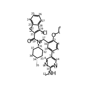 CCOc1ccc(-c2cnc(NC)nc2)cc1CN(C(=O)c1sc2ccccc2c1Cl)[C@H]1CC[C@H](C)CC1